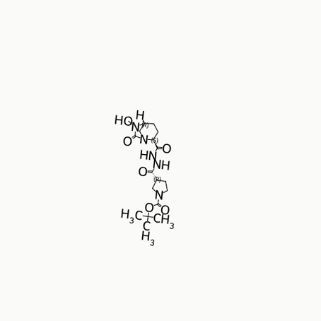 CC(C)(C)OC(=O)N1CC[C@@H](C(=O)NNC(=O)[C@@H]2CC[C@@H]3CN2C(=O)N3O)C1